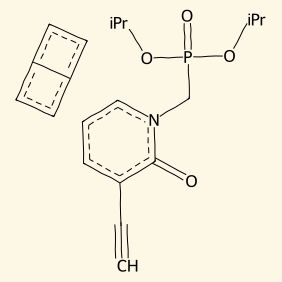 C#Cc1cccn(CP(=O)(OC(C)C)OC(C)C)c1=O.c1cc2ccc1-2